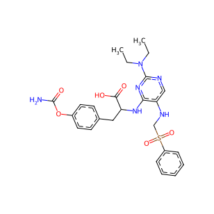 CCN(CC)c1ncc(NCS(=O)(=O)c2ccccc2)c(NC(Cc2ccc(OC(N)=O)cc2)C(=O)O)n1